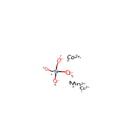 [Co+2].[Cu+2].[Mn+2].[O-][Si]([O-])([O-])[O-]